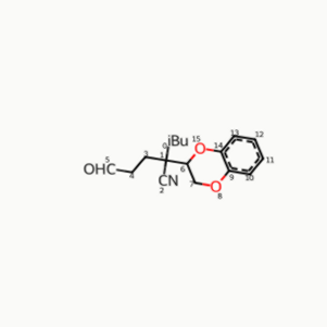 CCC(C)C(C#N)(CCC=O)C1COc2ccccc2O1